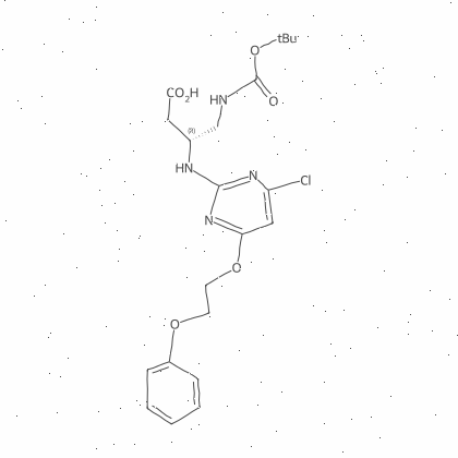 CC(C)(C)OC(=O)NC[C@@H](CC(=O)O)Nc1nc(Cl)cc(OCCOc2ccccc2)n1